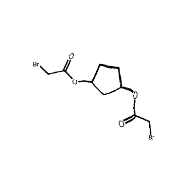 O=C(CBr)OC1CCC(OC(=O)CBr)C1